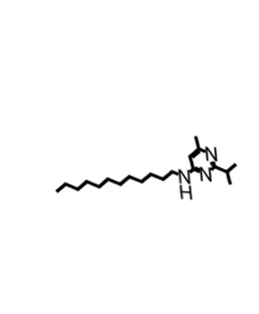 CCCCCCCCCCCCNc1cc(C)nc(C(C)C)n1